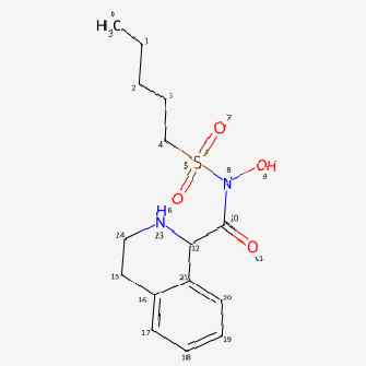 CCCCCS(=O)(=O)N(O)C(=O)C1NCCc2ccccc21